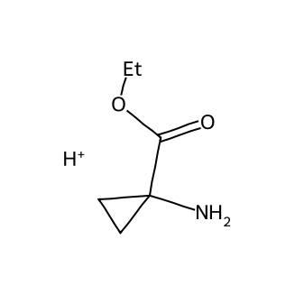 CCOC(=O)C1(N)CC1.[H+]